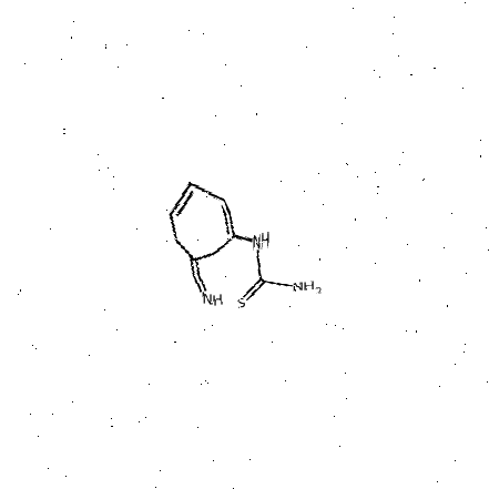 N=C1CC=CC=C1NC(N)=S